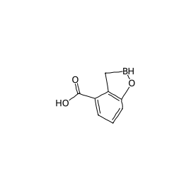 O=C(O)c1cccc2c1CBO2